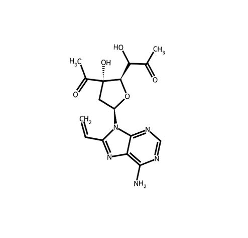 C=Cc1nc2c(N)ncnc2n1[C@H]1C[C@@](O)(C(C)=O)[C@@H](C(O)C(C)=O)O1